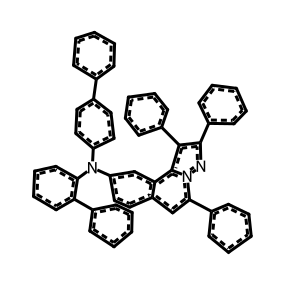 c1ccc(-c2ccc(N(c3ccc4cc(-c5ccccc5)n5nc(-c6ccccc6)c(-c6ccccc6)c5c4c3)c3ccccc3-c3ccccc3)cc2)cc1